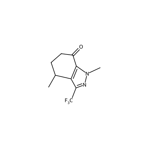 CC1CCC(=O)c2c1c(C(F)(F)F)nn2C